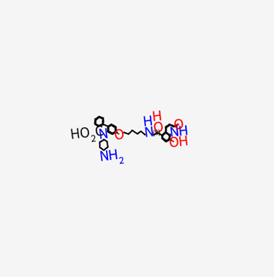 NC1CCC(N(C(=O)O)c2cc(OCCCCCCNC[C@@H](O)c3ccc(O)c4[nH]c(=O)ccc34)ccc2-c2ccccc2)CC1